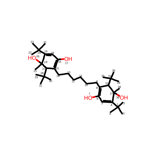 CC(C)(C)C1=CC(O)=C(CCCCCCC2=C(O)C=C(C(C)(C)C)C(C)(O)C2C(C)(C)C)C(C(C)(C)C)C1(C)O